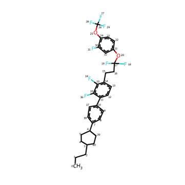 CCCC1CCC(c2ccc(-c3ccc(CCC(F)(F)Oc4ccc(OC(F)(F)F)c(F)c4)c(F)c3F)cc2)CC1